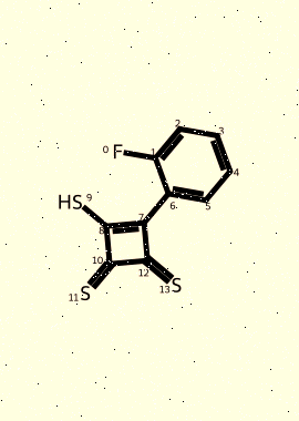 Fc1ccccc1-c1c(S)c(=S)c1=S